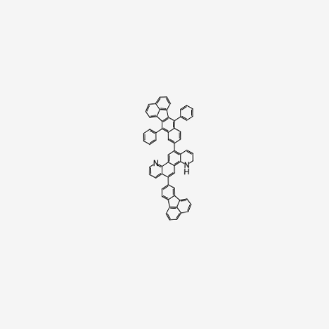 C1=Cc2c(-c3ccc4c(-c5ccccc5)c5c(c(-c6ccccc6)c4c3)-c3cccc4cccc-5c34)cc3c(cc(-c4ccc5c(c4)-c4cccc6cccc-5c46)c4cccnc43)c2NC1